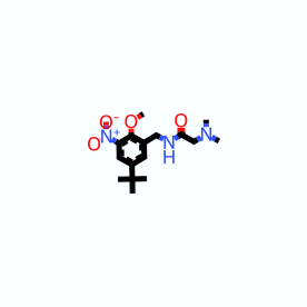 COc1c(CNC(=O)CN(C)C)cc(C(C)(C)C)cc1[N+](=O)[O-]